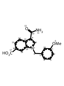 COc1cccc(Cn2cc(C(N)=O)c3ccc(C(=O)O)cc32)c1